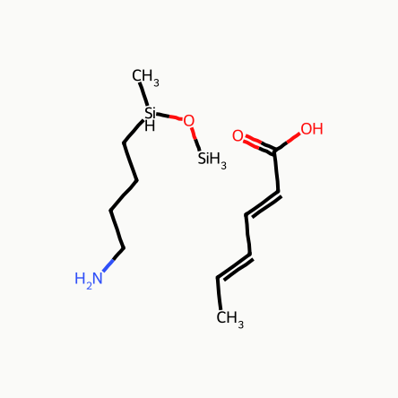 CC=CC=CC(=O)O.C[SiH](CCCCN)O[SiH3]